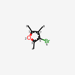 Cc1oc(C)c(Br)c1C